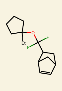 CCC1(OC(F)(F)C2CC3C=CC2C3)CCCC1